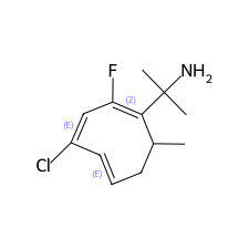 CC1C/C=C/C(Cl)=C\C(F)=C/1C(C)(C)N